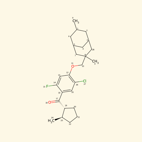 CC1CC2CC(C1)CC(C)(COc1cc(F)c(C(=O)[C@@H]3CCC[C@H]3C)cc1Cl)C2